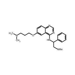 CNCC(Nc1ncnc2ccc(OCCCN(C)C)cc12)c1ccccc1